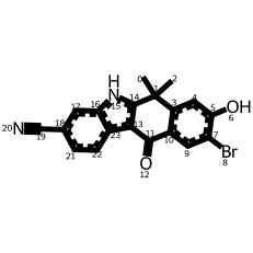 CC1(C)c2cc(O)c(Br)cc2C(=O)c2c1[nH]c1cc(C#N)ccc21